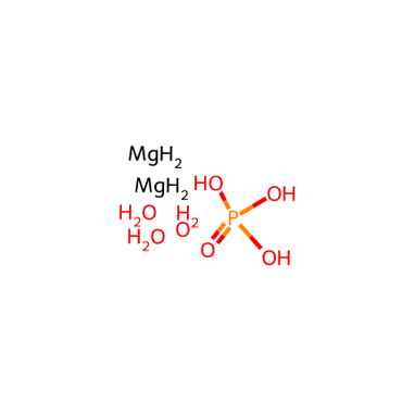 O.O.O.O=P(O)(O)O.[MgH2].[MgH2]